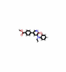 CCN(c1cncc(-c2ccc(C(=O)OC)cc2)c1)c1ccccc1O